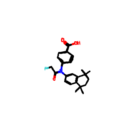 CC1(C)CCC(C)(C)c2cc(N(C(=O)CF)c3ccc(C(=O)O)cc3)ccc21